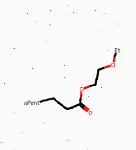 CCCCCCCC(=O)OCCOCC